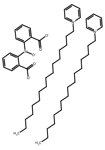 CCCCCCCCCCCCCCCC[n+]1ccccc1.CCCCCCCCCCCCCCCC[n+]1ccccc1.O=C([O-])c1ccccc1[S+]([O-])c1ccccc1C(=O)[O-]